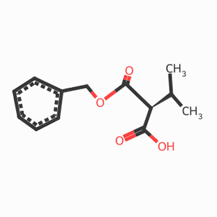 CC(C)[C@@H](C(=O)O)C(=O)OCc1ccccc1